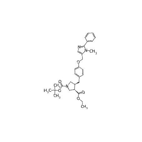 CCOC(=O)[C@H]1CN(C(=O)OC(C)(C)C)C[C@H]1Cc1ccc(OCc2cnc(-c3ccccc3)n2C)cc1